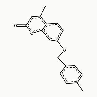 Cc1ccc(COc2ccc3c(C)cc(=O)oc3c2)cc1